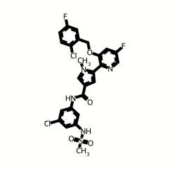 Cn1cc(C(=O)Nc2cc(Cl)cc(NS(C)(=O)=O)c2)cc1-c1ncc(F)cc1OCc1cc(F)ccc1Cl